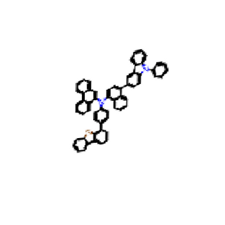 c1ccc(-n2c3ccccc3c3cc(-c4ccc(N(c5ccc(-c6cccc7c6sc6ccccc67)cc5)c5cc6ccccc6c6ccccc56)c5ccccc45)ccc32)cc1